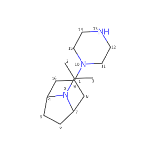 CC(C)N1C2CCC1CC(N1CCNCC1)C2